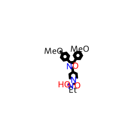 CCN(O)C(=O)N1CCC(c2nc(-c3ccc(OC)cc3)c(-c3cccc(OC)c3)o2)CC1